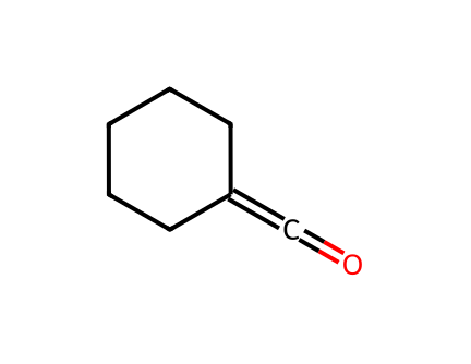 O=C=C1CCCCC1